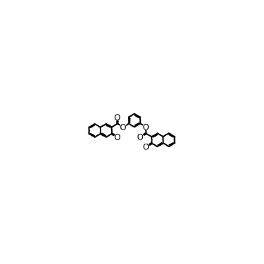 O=C1C=C2C=CC=CC2C=C1C(=O)Oc1cccc(OC(=O)C2=CC3C=CC=CC3=CC2=O)c1